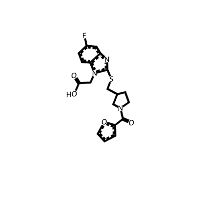 O=C(O)Cn1c(SCC2CCN(C(=O)c3ccco3)C2)nc2cc(F)ccc21